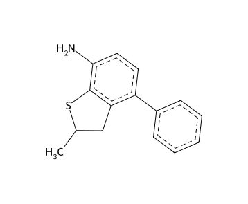 CC1Cc2c(-c3ccccc3)ccc(N)c2S1